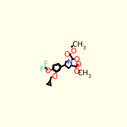 CCOC(=O)C(=O)N1CC(c2ccc(OC(F)F)c(OCC3CC3)c2)CC1C(=O)OC